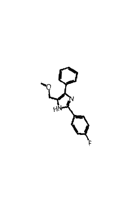 COCc1[nH]c(-c2ccc(F)cc2)nc1-c1ccccc1